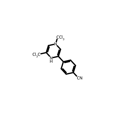 N#Cc1ccc(C2=CN(C(Cl)(Cl)Cl)C=C(C(Cl)(Cl)Cl)N2)cc1